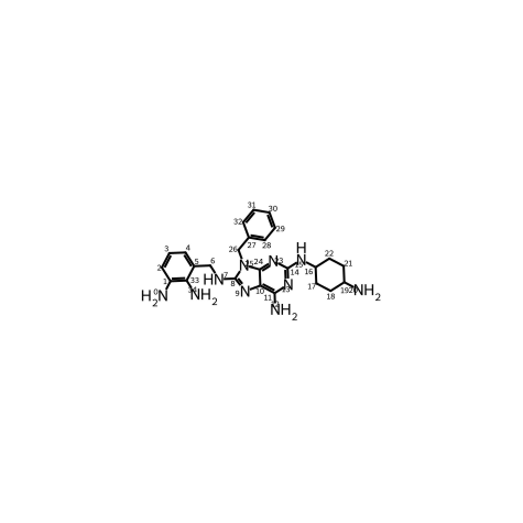 Nc1cccc(CNc2nc3c(N)nc(NC4CCC(N)CC4)nc3n2Cc2ccccc2)c1N